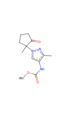 Cc1nn(C2(C)CCCC2=O)cc1NC(=O)OC(C)(C)C